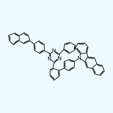 c1ccc(-c2nc(-c3ccc(-c4ccc5ccccc5c4)cc3)nc(-c3ccccc3-c3ccc(-n4c5ccccc5c5cc6ccccc6cc54)cc3)n2)cc1